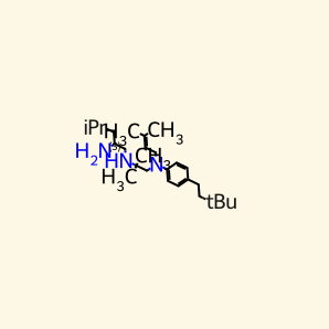 CC(C)=CCN(CC(C)(C)NC[C@@H](N)CC(C)C)c1ccc(CCC(C)(C)C)cc1